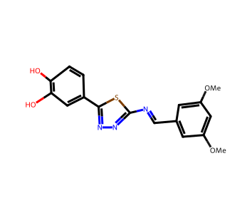 COc1cc(C=Nc2nnc(-c3ccc(O)c(O)c3)s2)cc(OC)c1